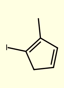 CC1=C(I)CC=C1